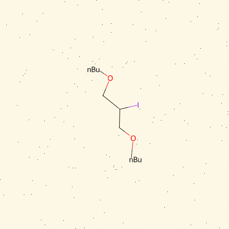 CCCCOCC(I)COCCCC